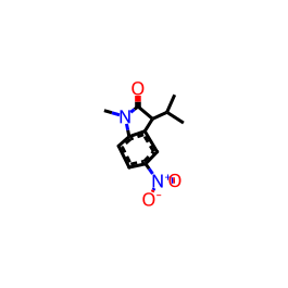 CC(C)C1C(=O)N(C)c2ccc([N+](=O)[O-])cc21